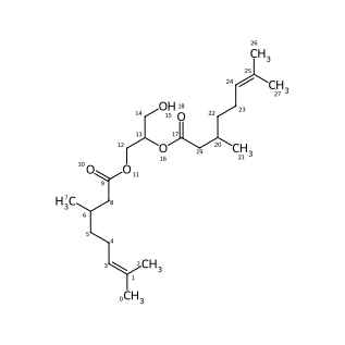 CC(C)=CCCC(C)CC(=O)OCC(CO)OC(=O)CC(C)CCC=C(C)C